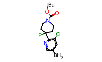 Bc1cnc(C2(F)CCN(C(=O)OC(C)(C)C)CC2)c(Cl)c1